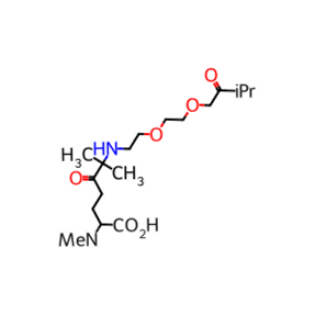 CNC(CCC(=O)C(C)(C)NCCOCCOCC(=O)C(C)C)C(=O)O